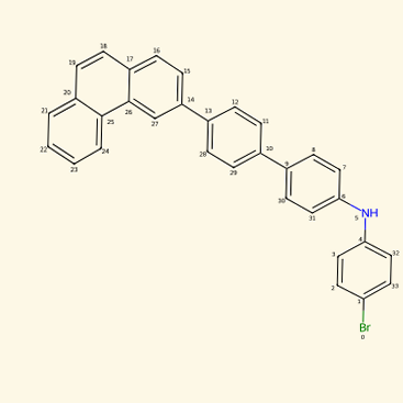 Brc1ccc(Nc2ccc(-c3ccc(-c4ccc5ccc6ccccc6c5c4)cc3)cc2)cc1